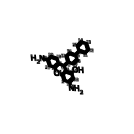 Nc1ccc(C(c2ccc(-c3ccccc3)cc2)c2ccc(N)cc2O)c(O)c1